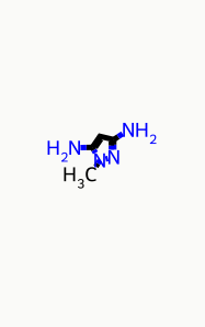 Cn1nc(N)cc1N